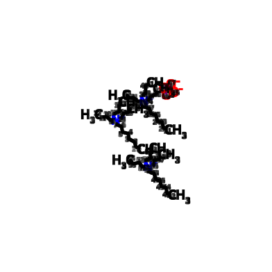 CCCCCCCC[N+](CCCC)(CCCC)CCCC.CCCCCCCC[N+](CCCC)(CCCC)CCCC.CCCCCCCC[N+](CCCC)(CCCC)CCCC.O=P([O-])([O-])[O-]